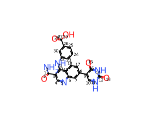 NC(=O)c1cnc2cc(-c3c[nH]c(=O)[nH]c3=O)ccc2c1Nc1cccc(C(=O)O)c1